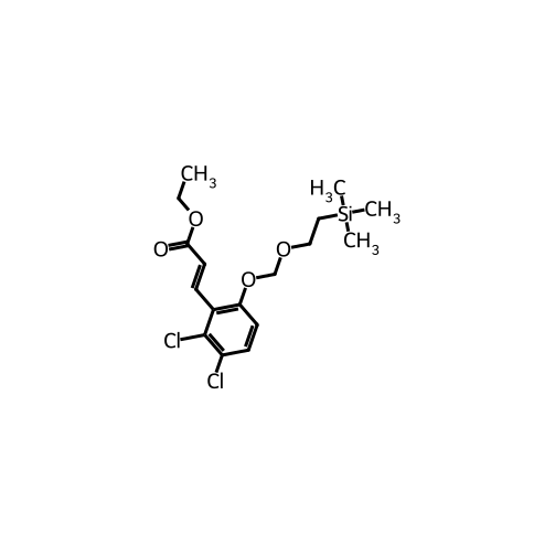 CCOC(=O)C=Cc1c(OCOCC[Si](C)(C)C)ccc(Cl)c1Cl